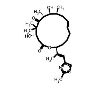 C/C(=C\c1csc(C)n1)[C@@H]1CCC/C=C/C[C@H](C)[C@H](O)[C@@H](C)C(=O)C(C)(C)[C@@H](O)CC(=O)O1